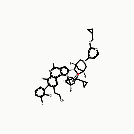 Cc1nc2c(F)c(-c3cccc(Cl)c3Cl)c(CCC#N)cc2c2c1cc([C@H]1[C@H]3C[C@H](CN(c4ccnc(OCC5CC5)c4)C3)N1C(=O)C1CC1)n2[C@H]1[C@H]2CN[C@@H]1C2